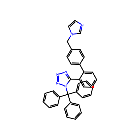 c1ccc(C(c2ccccc2)(c2ccccc2)n2nnnc2-c2ccccc2-c2ccc(Cn3ccnc3)cc2)cc1